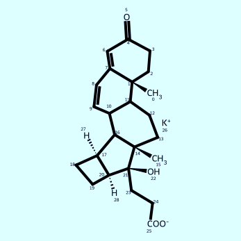 C[C@]12CCC(=O)C=C1C=CC1C2CC[C@@]2(C)C1[C@@H]1CC[C@@H]1[C@@]2(O)CCC(=O)[O-].[K+]